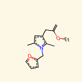 C=C(Cc1cc(C)n(Cc2ccco2)c1C)OCC